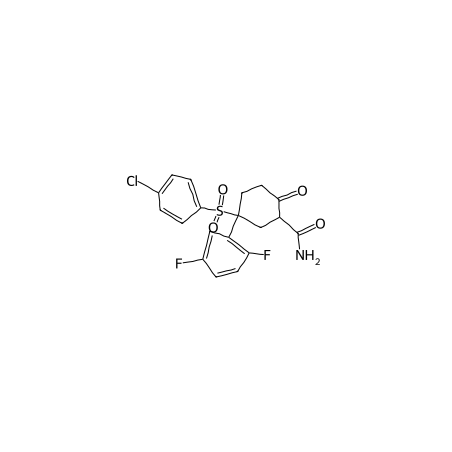 NC(=O)C1CC(c2cc(F)ccc2F)(S(=O)(=O)c2ccc(Cl)cc2)CCC1=O